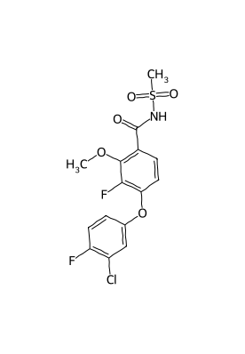 COc1c(C(=O)NS(C)(=O)=O)ccc(Oc2ccc(F)c(Cl)c2)c1F